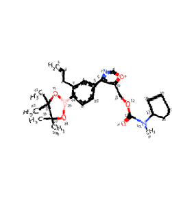 C=CCc1cc(-c2ncoc2COC(=O)N(C)C2CCCC2)ccc1B1OC(C)(C)C(C)(C)O1